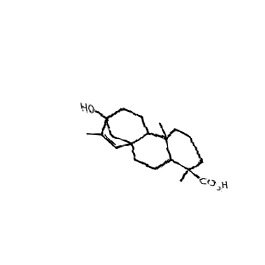 CC1=CC23CCC4C(C)(C(=O)O)CCCC4(C)C2CCC1(O)C3